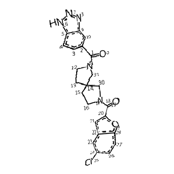 O=C(c1ccc2[nH]nnc2c1)N1CCC2(CCN(C(=O)c3cc4cc(Cl)ccc4o3)C2)C1